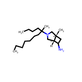 CCCCCCCC(C)(CCCC)N1C[C@H]2C(N)C[C@@]2(C)C1